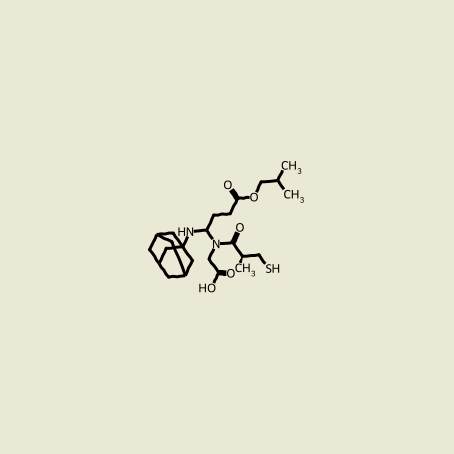 CC(C)COC(=O)CCC(NC12CC3CC(CC(C3)C1)C2)N(CC(=O)O)C(=O)[C@H](C)CS